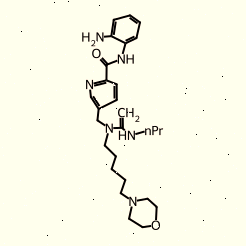 C=C(NCCC)N(CCCCCN1CCOCC1)Cc1ccc(C(=O)Nc2ccccc2N)nc1